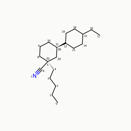 CCCCC[C@]1(C#N)CCC[C@@H](C2CCC(CC)CC2)C1